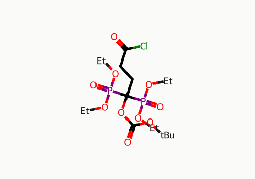 CCOP(=O)(OCC)C(CCC(=O)Cl)(OC(=O)OC(C)(C)C)P(=O)(OCC)OCC